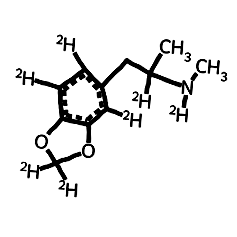 [2H]c1c([2H])c2c(c([2H])c1CC([2H])(C)N([2H])C)OC([2H])([2H])O2